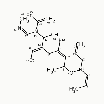 C=CCN(/C=C\C)OC(C)/C=C(/F)C/C(=C\CC)C(C)N(/C=N\C)C(=C)CC